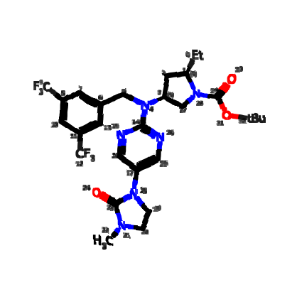 CC[C@@H]1C[C@H](N(Cc2cc(C(F)(F)F)cc(C(F)(F)F)c2)c2ncc(N3CCN(C)C3=O)cn2)CN1C(=O)OC(C)(C)C